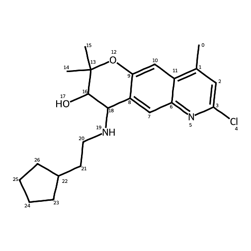 Cc1cc(Cl)nc2cc3c(cc12)OC(C)(C)C(O)C3NCCC1CCCC1